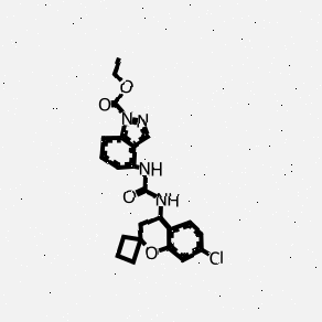 CCOC(=O)n1ncc2c(NC(=O)NC3CC4(CCC4)Oc4cc(Cl)ccc43)cccc21